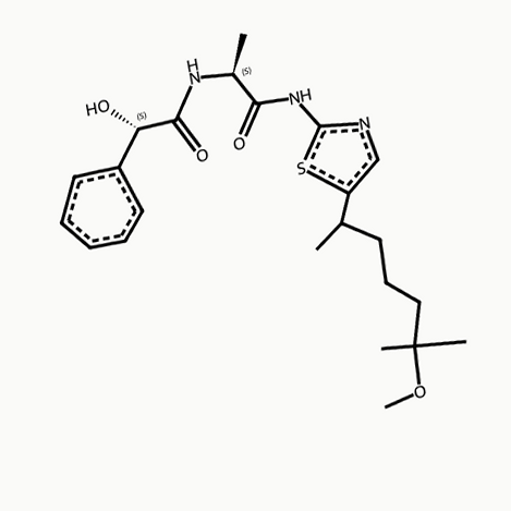 COC(C)(C)CCCC(C)c1cnc(NC(=O)[C@H](C)NC(=O)[C@@H](O)c2ccccc2)s1